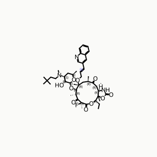 CC[C@H]1OC(=O)[C@@](C)(F)C(=O)[C@H](C)[C@@H](O[C@@H]2O[C@H](C)C[C@H](N(C)CCC(C)(C)C)[C@H]2O)[C@](C)(OC/C=C/c2cnc3ccccc3c2)C[C@@H](C)C(=O)[C@H](C)[C@H]2NC(=O)O[C@@]21C